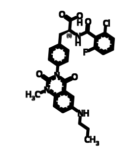 CCCNc1ccc2c(c1)c(=O)n(-c1ccc(C[C@H](NC(=O)c3c(F)cccc3Cl)C(=O)O)cc1)c(=O)n2C